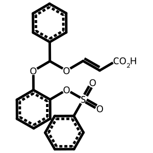 O=C(O)C=COC(Oc1ccccc1OS(=O)(=O)c1ccccc1)c1ccccc1